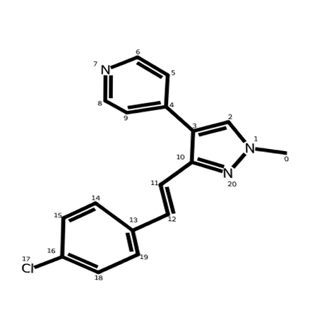 Cn1cc(-c2ccncc2)c(C=Cc2ccc(Cl)cc2)n1